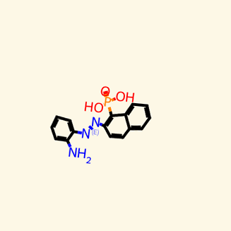 Nc1ccccc1/N=N/c1ccc2ccccc2c1P(=O)(O)O